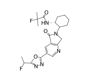 CC(F)c1nnc(-c2cnc3c(c2)C(=O)N(C2CCCC[C@H]2NC(=O)C(C)(C)F)C3)o1